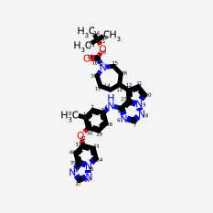 Cc1cc(Nc2ncnn3ccc(C4CCCN(C(=O)OC(C)(C)C)CC4)c23)ccc1Oc1ccn2ncnc2c1